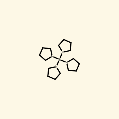 C1CCN([B-](N2CCCC2)(N2CCCC2)N2CCCC2)C1